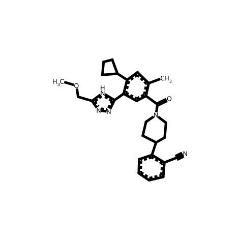 COCc1nnc(-c2cc(C(=O)N3CCC(c4ccccc4C#N)CC3)c(C)cc2C2CCC2)[nH]1